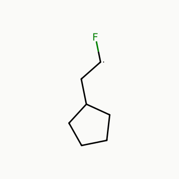 F[CH]CC1CCCC1